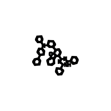 c1ccc(C2=NC(c3ccc(-c4cccc(N(c5ccccc5)c5ccc(-c6ccccc6)cc5)c4)c4oc5ccccc5c34)=NC(c3ccccc3)N2)cc1